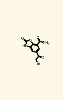 NC(=O)c1cc(C(=O)CBr)cc2[nH]c(=O)oc12